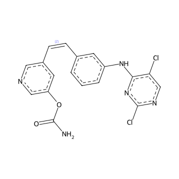 NC(=O)Oc1cncc(/C=C\c2cccc(Nc3nc(Cl)ncc3Cl)c2)c1